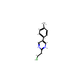 FC(F)(F)c1ccc(-c2cnc(CCBr)nc2)cc1